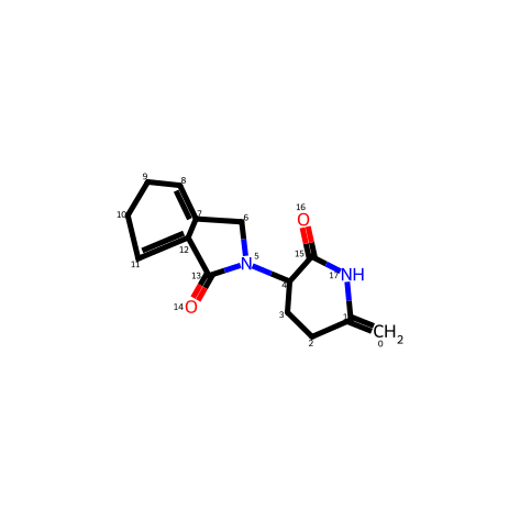 C=C1CCC(N2CC3=CCCC=C3C2=O)C(=O)N1